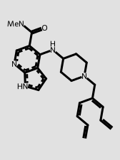 C=C/C=C\C(=C/C=C)CN1CCC(Nc2c(C(=O)NC)cnc3[nH]ccc23)CC1